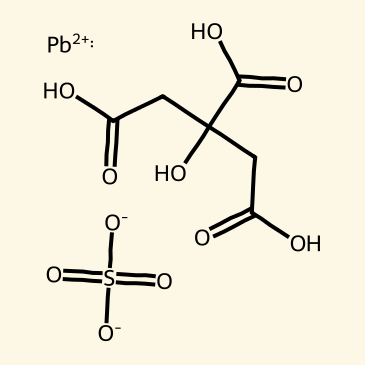 O=C(O)CC(O)(CC(=O)O)C(=O)O.O=S(=O)([O-])[O-].[Pb+2]